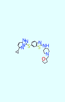 c1cc2nc(NC3CCN(CC4CCCO4)CC3)sc2cc1Sc1nnc2ccc(C3CC3)nn12